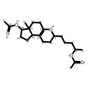 CC(=O)OC(C)CCCC1CCC2=C(CCC3(C)C(OC(C)=O)CCC23)O1